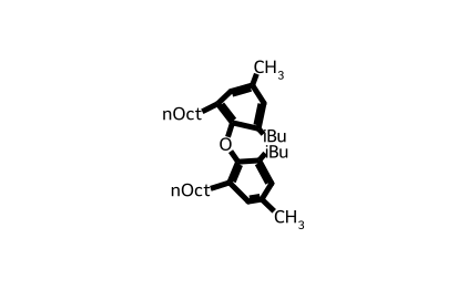 CCCCCCCCc1cc(C)cc(C(C)CC)c1Oc1c(CCCCCCCC)cc(C)cc1C(C)CC